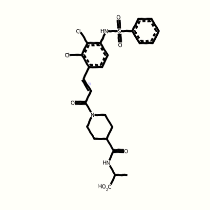 CC(NC(=O)C1CCN(C(=O)/C=C/c2ccc(NS(=O)(=O)c3ccccc3)c(Cl)c2Cl)CC1)C(=O)O